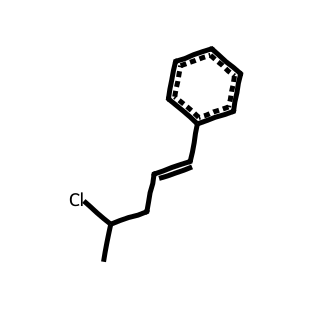 CC(Cl)CC=Cc1ccccc1